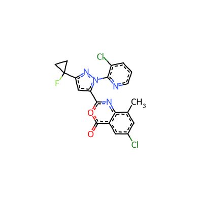 Cc1cc(Cl)cc2c(=O)oc(-c3cc(C4(F)CC4)nn3-c3ncccc3Cl)nc12